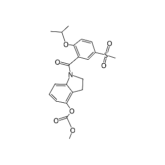 COC(=O)Oc1cccc2c1CCN2C(=O)c1cc(S(C)(=O)=O)ccc1OC(C)C